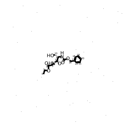 CCOC(=O)CNC(=O)[C@H](CO)NC(=O)OCc1ccccc1